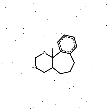 CC12OCNCC1CCCc1ccccc12